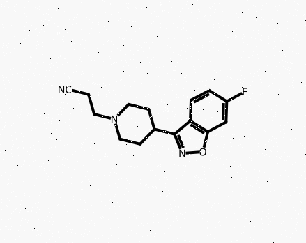 N#CCCN1CCC(c2noc3cc(F)ccc23)CC1